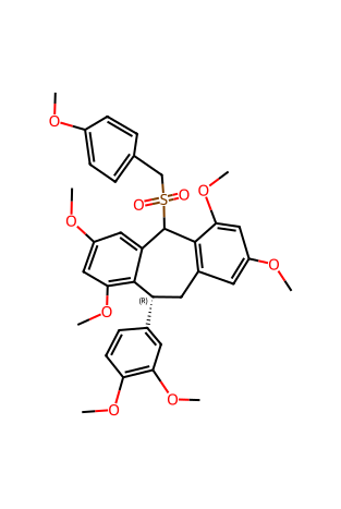 COc1ccc(CS(=O)(=O)C2c3cc(OC)cc(OC)c3[C@@H](c3ccc(OC)c(OC)c3)Cc3cc(OC)cc(OC)c32)cc1